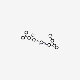 C1=CC(c2ccc(-c3cc4ccccc4cc3-c3ccc(/C=C/c4ccc(/C=C/c5ccc6c(c5)C5(CCCC5)c5cc(N(c7ccccc7)c7ccccc7)ccc5-6)nc4)cc3)cc2)=CCC1